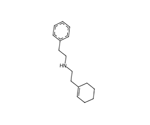 C1=C(CCNCCc2ccccc2)CCCC1